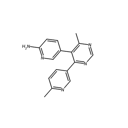 Cc1ccc(-c2ncnc(C)c2-c2ccc(N)nc2)cn1